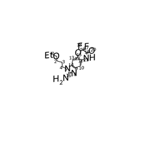 CCOCCCn1c(N)nc2cc3c(cc21)OC(F)(F)C(=O)N3